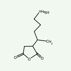 CCCCCCCCCCC(C)C1CC(=O)OC1=O